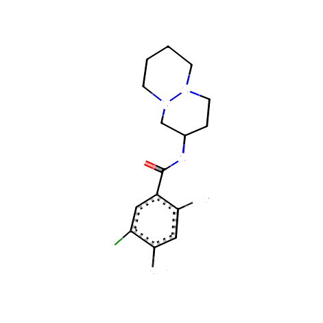 COc1cc(NC(C)=O)c(Cl)cc1C(=O)NC1CCN2CCCCN2C1